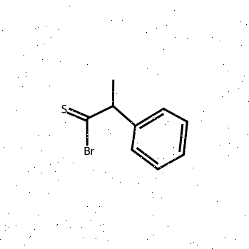 CC(C(=S)Br)c1ccccc1